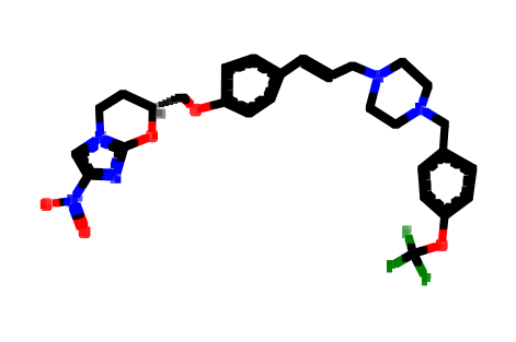 O=[N+]([O-])c1cn2c(n1)O[C@@H](COc1ccc(C=CCN3CCN(Cc4ccc(OC(F)(F)F)cc4)CC3)cc1)CC2